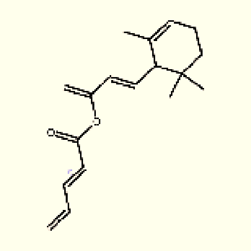 C=C/C=C/C(=O)OC(=C)C=CC1C(C)=CCCC1(C)C